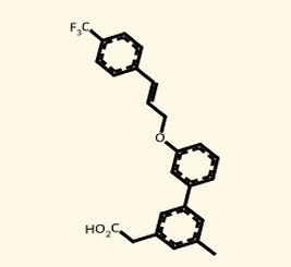 Cc1cc(CC(=O)O)cc(-c2cccc(OCC=Cc3ccc(C(F)(F)F)cc3)c2)c1